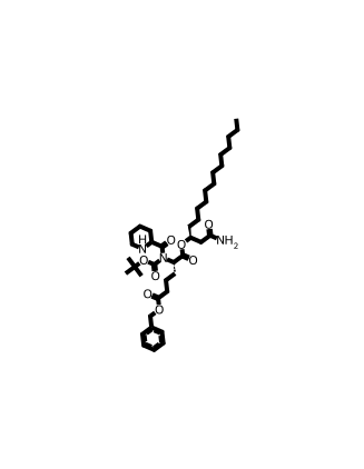 CCCCCCCCCCCCC[C@@H](CC(N)=O)OC(=O)[C@H](CCCC(=O)OCc1ccccc1)N(C(=O)OC(C)(C)C)C(=O)C1CCCCN1